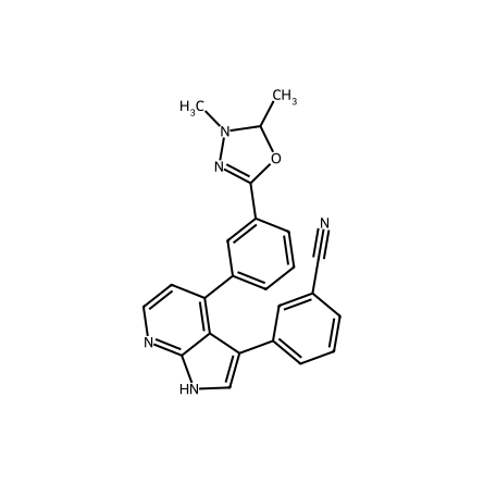 CC1OC(c2cccc(-c3ccnc4[nH]cc(-c5cccc(C#N)c5)c34)c2)=NN1C